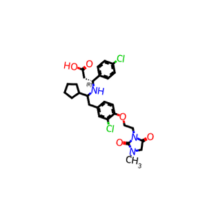 CN1CC(=O)N(CCOc2ccc(CC(N[C@H](CC(=O)O)c3ccc(Cl)cc3)C3CCCC3)cc2Cl)C1=O